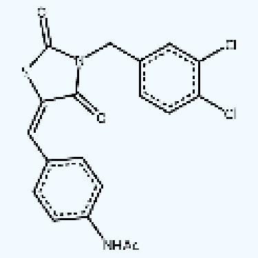 CC(=O)Nc1ccc(C=C2SC(=O)N(Cc3ccc(Cl)c(Cl)c3)C2=O)cc1